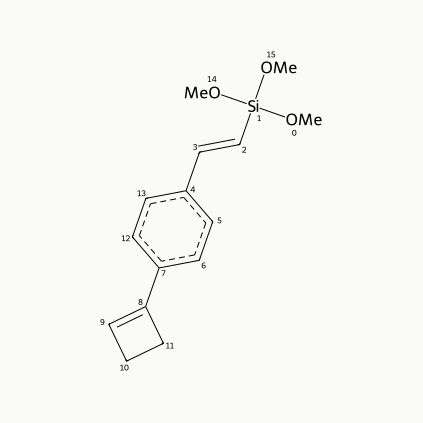 CO[Si](C=Cc1ccc(C2=CCC2)cc1)(OC)OC